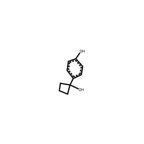 Oc1ccc(C2(O)CCC2)cc1